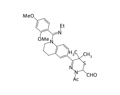 CCN=C(c1ccc(OC)cc1OC)N1CCCc2cc(C3=NN(C(C)=O)C(C=O)SC3(C)C)ccc21